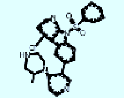 CC1CNCCN1c1ccncc1-c1ccc2c(c1)c1c(Cl)ccnc1n2S(=O)(=O)c1ccccc1